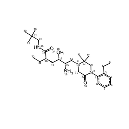 CCc1ccccc1N1CC(C)(C)N(C[C@H](N)[C@@H](O)C[C@@H](CC)C(=O)NCC(C)(C)C)CC1=O